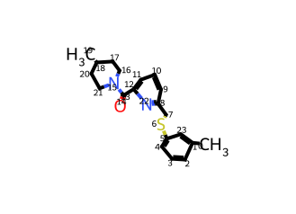 Cc1cccc(SCc2cccc(C(=O)N3CCC(C)CC3)n2)c1